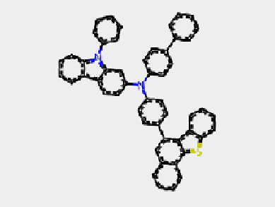 c1ccc(-c2ccc(N(c3ccc(-c4cc5ccccc5c5sc6ccccc6c45)cc3)c3ccc4c5ccccc5n(-c5ccccc5)c4c3)cc2)cc1